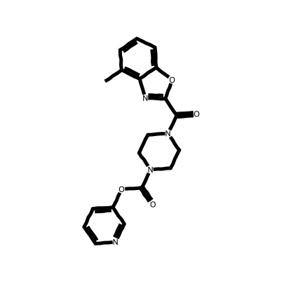 Cc1cccc2oc(C(=O)N3CCN(C(=O)Oc4cccnc4)CC3)nc12